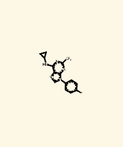 Fc1ccc(-n2cnc3c(NC4CC4)nc(C(F)(F)F)nc32)cc1